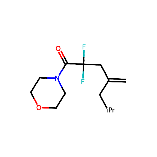 C=C(CC(C)C)CC(F)(F)C(=O)N1CCOCC1